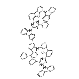 c1ccc(-c2nc(-c3cccc4c3oc3c(-n5c6ccccc6c6ccccc65)cccc34)nc(-n3c4ccccc4c4cc(-c5ccc6c7c(-c8ccccc8)cccc7n(-c7cccc8c7oc7c(-c9nc(-c%10ccccc%10)nc(-n%10c%11ccccc%11c%11ccccc%11%10)n9)cccc78)c6c5)ccc43)n2)cc1